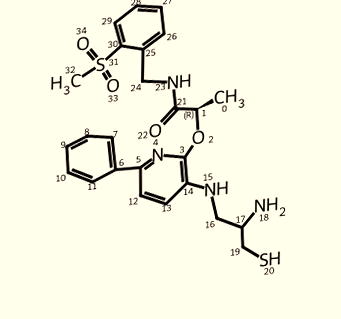 C[C@@H](Oc1nc(-c2ccccc2)ccc1NCC(N)CS)C(=O)NCc1ccccc1S(C)(=O)=O